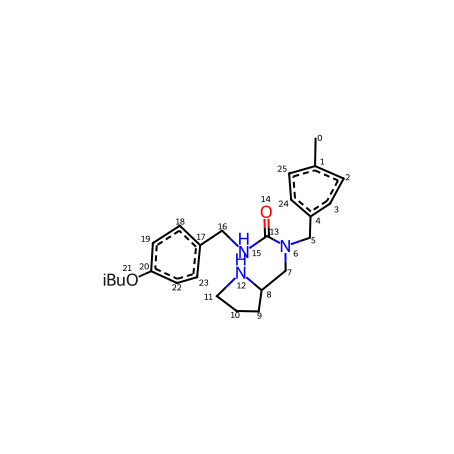 Cc1ccc(CN(CC2CCCN2)C(=O)NCc2ccc(OCC(C)C)cc2)cc1